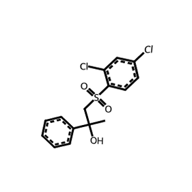 CC(O)(CS(=O)(=O)c1ccc(Cl)cc1Cl)c1ccccc1